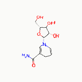 NC(=O)C1=CN([C@@H]2O[C@H](CO)C(O)[C@@H]2O)C=CC1